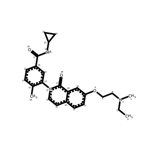 CCN(C)CCOc1ccc2ccn(-c3cc(C(=O)NC4CC4)ccc3C)c(=O)c2c1